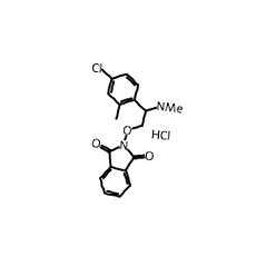 CNC(CON1C(=O)c2ccccc2C1=O)c1ccc(Cl)cc1C.Cl